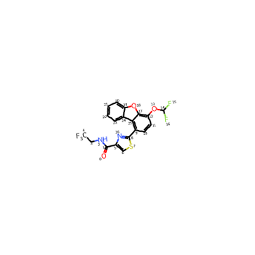 O=C(NCC(F)(F)F)c1csc(-c2ccc(OC(F)F)c3oc4ccccc4c23)n1